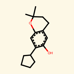 CC1(C)CCc2cc(O)c(C3CCCC3)cc2O1